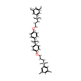 Cc1cc(C)cc([Si](C)(C)CCCOc2ccc(C(C)(C)c3ccc(OCCC[Si](C)(C)c4cc(C)cc(C)c4)cc3)cc2)c1